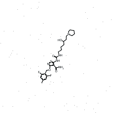 Cc1cc(F)c(COc2nsc(NC(=O)NCCCCC(O)CCN3CCCCC3)c2C(N)=O)c(F)c1